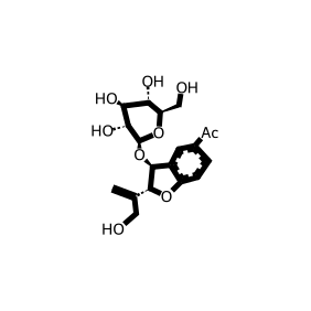 C=C(CO)[C@H]1Oc2ccc(C(C)=O)cc2[C@@H]1O[C@@H]1O[C@H](CO)[C@@H](O)[C@H](O)[C@H]1O